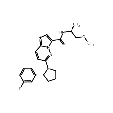 COC[C@H](C)NC(=O)c1cnc2ccc(N3CCC[C@@H]3c3cccc(F)c3)nn12